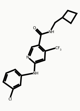 O=C(NCC1CCC1)c1cnc(Nc2cccc(Cl)c2)cc1C(F)(F)F